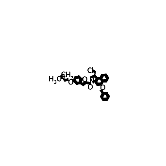 CN(C)CCOc1ccc2oc(C(=O)N3C[C@@H](CCl)c4c3cc(OCc3ccccc3)c3ccccc43)cc2c1